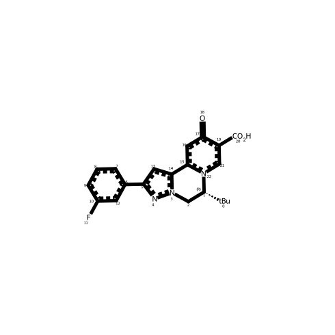 CC(C)(C)[C@@H]1Cn2nc(-c3cccc(F)c3)cc2-c2cc(=O)c(C(=O)O)cn21